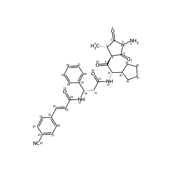 C[C@@H]1C(=O)N(N)C(=O)[C@H]1C(=O)[C@@H](NC(=O)C[C@H](NC(=O)/C=C/c1ccc(C#N)cc1)c1ccccc1)C1CCCC1